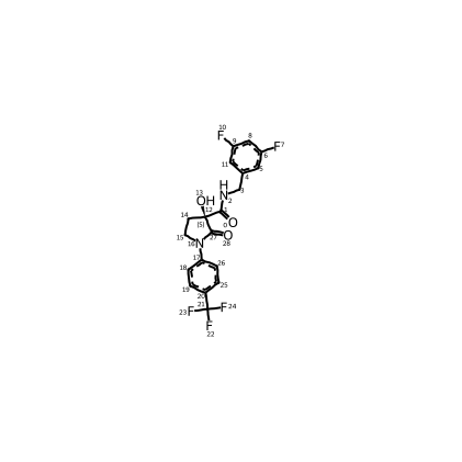 O=C(NCc1cc(F)cc(F)c1)[C@@]1(O)CCN(c2ccc(C(F)(F)F)cc2)C1=O